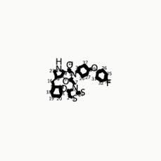 O=C1CSC(=S)N1CC(=O)N(C(=O)[C@@H]1C[C@@H](Cc2ccccc2)CN1)c1ccc(Oc2ccc(F)cc2)cc1